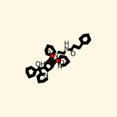 O=C(C=Cc1ccccc1)NCCN1C(=O)C2C3C=C(C(O)(c4ccccc4)c4ccccn4)C(C3=C(c3ccccc3)c3ccccn3)C2C1=O